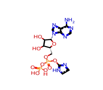 Nc1ncnc2c1ncn2[C@@H]1O[C@H](COP(=O)(Oc2ncc[nH]2)OP(=O)(O)O)C(O)C1O